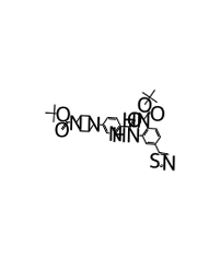 CC(C)(C)OC(=O)Nc1ccc(-c2cncs2)cc1NC(=O)c1ccc(N2CCN(C(=O)OC(C)(C)C)CC2)cn1